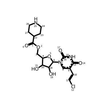 O=C(OCC1OC(n2cc(/C=C/Cl)c(=O)[nH]c2=O)C(O)C1O)C1CCNCC1